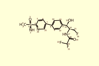 CS(=N)(=O)c1ccc(-c2ccc([C@@H](O)[C@@H](CF)NC(=O)C(F)F)cc2)cn1